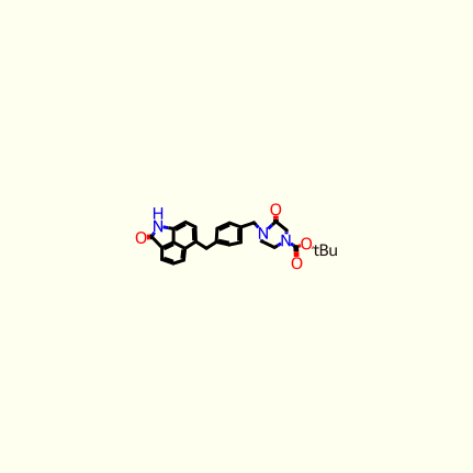 CC(C)(C)OC(=O)N1CCN(Cc2ccc(Cc3ccc4c5c(cccc35)C(=O)N4)cc2)C(=O)C1